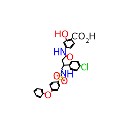 O=C(CC(CNS(=O)(=O)c1ccc(Oc2ccccc2)cc1)c1ccc(Cl)cc1)Nc1ccc(C(=O)O)c(O)c1